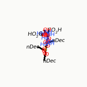 CCCCCCCCCCCCCCCC(=O)OC[C@H](CSCCC(=O)N[C@@H](NC(=O)CCCCCCCCCCCCC)C(=O)NCC(=O)NCC(=O)NC(CCC(=O)O)C(=O)N[C@H](C(=O)N[C@H](C(=O)O)[C@@H](C)O)[C@@H](C)O)OC(=O)CCCCCCCCCCCCCCC